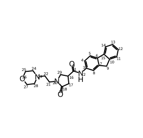 O=C(Nc1ccc2c(c1)Cc1ccccc1-2)C1CC(=O)N(CCN2CCOCC2)C1